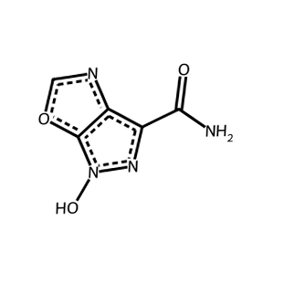 NC(=O)c1nn(O)c2ocnc12